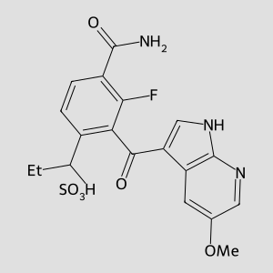 CCC(c1ccc(C(N)=O)c(F)c1C(=O)c1c[nH]c2ncc(OC)cc12)S(=O)(=O)O